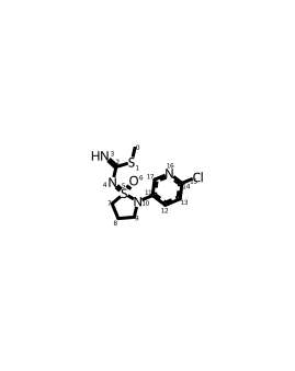 CSC(=N)N=S1(=O)CCCN1c1ccc(Cl)nc1